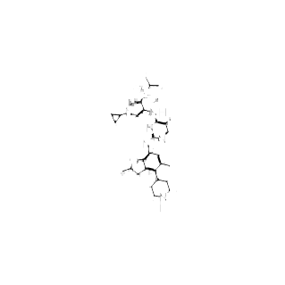 Cc1cc(Nc2ncc(Cl)c(Nc3cn(C4CC4)nc3S(=O)(=O)C(C)C)n2)c2c(c1C1CCNCC1)CC(C)O2